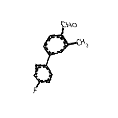 Cc1cc(-c2ccc(F)cc2)ccc1C=O